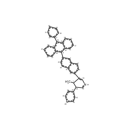 CC1C(c2ccc3cc(-c4c5ccccc5c(-c5ccccc5)c5ccccc45)ccc3c2)=CN=CC1c1ccncc1